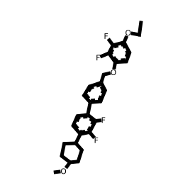 CCOc1ccc(OCc2ccc(-c3ccc(C4CCC(OC)CC4)c(F)c3F)cc2)c(F)c1F